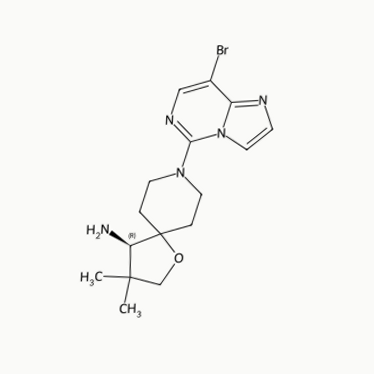 CC1(C)COC2(CCN(c3ncc(Br)c4nccn34)CC2)[C@@H]1N